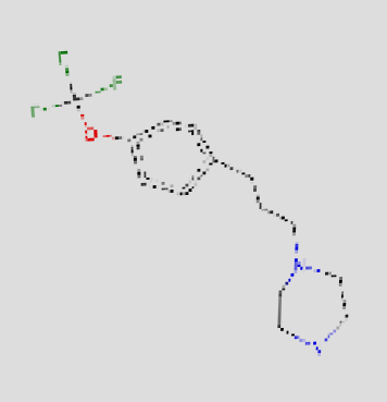 FC(F)(F)Oc1ccc(CCCN2CC[N]CC2)cc1